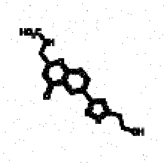 O=C(O)NCc1cc(=O)c2cc(-c3cn(CCO)nn3)ccc2o1